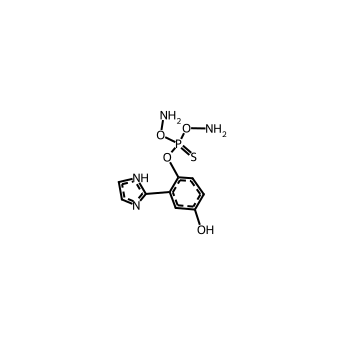 NOP(=S)(ON)Oc1ccc(O)cc1-c1ncc[nH]1